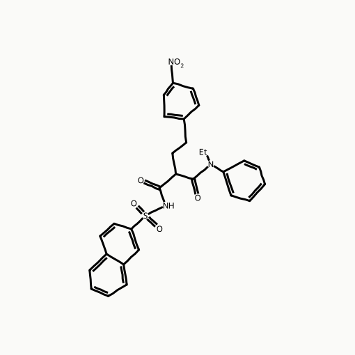 CCN(C(=O)C(CCc1ccc([N+](=O)[O-])cc1)C(=O)NS(=O)(=O)c1ccc2ccccc2c1)c1ccccc1